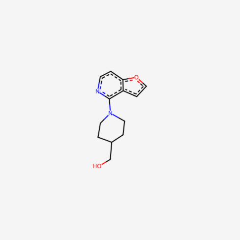 OCC1CCN(c2nccc3occc23)CC1